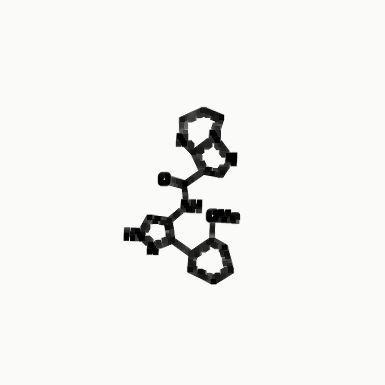 COc1ccccc1-c1n[nH]cc1NC(=O)c1cnn2cccnc12